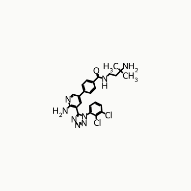 CC(C)(N)CCNC(=O)c1ccc(-c2cnc(N)c(-c3nnnn3-c3cccc(Cl)c3Cl)c2)cc1